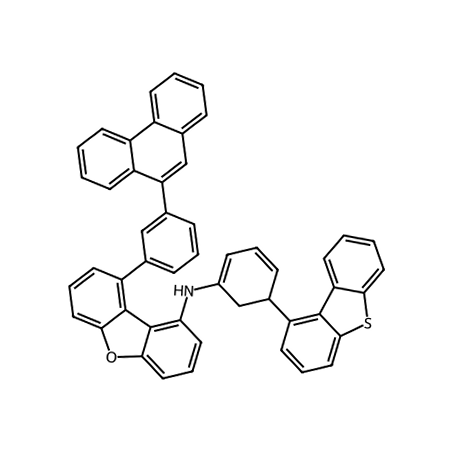 C1=CC(c2cccc3sc4ccccc4c23)CC(Nc2cccc3oc4cccc(-c5cccc(-c6cc7ccccc7c7ccccc67)c5)c4c23)=C1